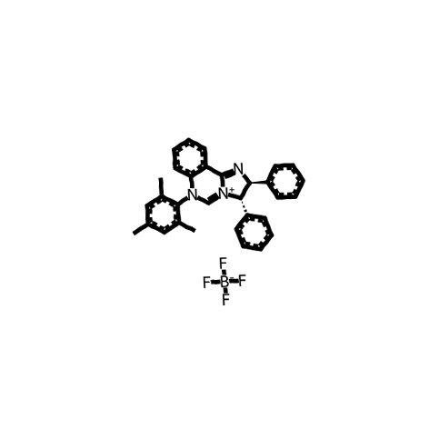 Cc1cc(C)c(N2C=[N+]3C(=N[C@@H](c4ccccc4)[C@@H]3c3ccccc3)c3ccccc32)c(C)c1.F[B-](F)(F)F